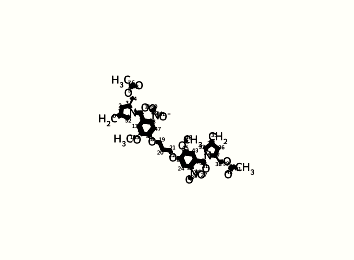 C=C1C[C@@H](COC(C)=O)N(C(=O)c2cc(OC)c(OCCCOc3cc([N+](=O)[O-])c(C(=O)N4CC(=C)C[C@H]4COC(C)=O)cc3OC)cc2[N+](=O)[O-])C1